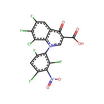 O=C(O)c1cn(-c2c(F)cc(F)c([N+](=O)[O-])c2F)c2c(Cl)c(F)c(F)cc2c1=O